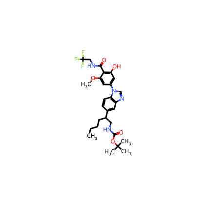 CCCCC(CNC(=O)OC(C)(C)C)c1ccc2c(c1)ncn2-c1cc(O)c(C(=O)NCC(F)(F)F)c(OC)c1